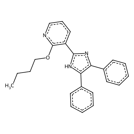 CCCCOc1ncccc1-c1nc(-c2ccccc2)c(-c2ccccc2)[nH]1